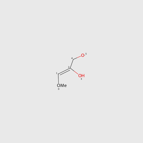 CO/C=C(\O)C[O]